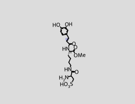 COC(=O)[C@H](CCCCNC(=O)C(N)CS(=O)(=O)O)NC(=O)/C=C/c1ccc(O)c(O)c1